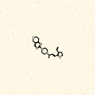 C=CC1=C(/C=C/C(C)N2CCN(c3ncc4c(n3)CCOC4)CC2)OCC1